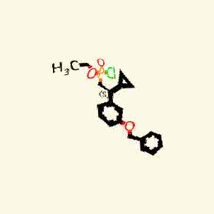 CCOP(=O)(Cl)C[C@H](c1cccc(OCc2ccccc2)c1)C1CC1